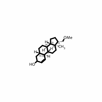 COC[C@H]1CC[C@H]2[C@@H]3CC[C@H]4CC(O)C=C[C@@H]4[C@H]3CC[C@]12C